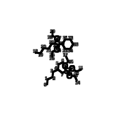 CCCCC(CC)C[Si](OCC)(OCC)OCC.CCCCC[Si](OCC)(OCC)C1CCCCC1